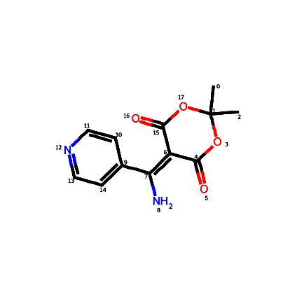 CC1(C)OC(=O)C(=C(N)c2ccncc2)C(=O)O1